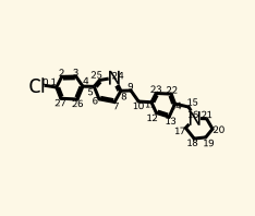 Clc1ccc(-c2ccc(CCc3ccc(CN4CCCCC4)cc3)nc2)cc1